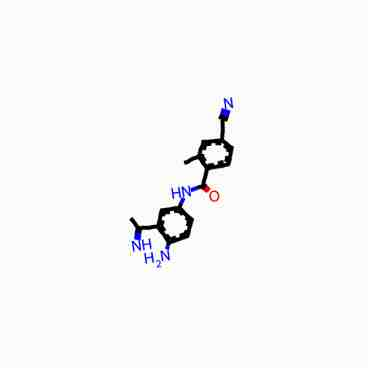 CC(=N)c1cc(NC(=O)c2ccc(C#N)cc2C)ccc1N